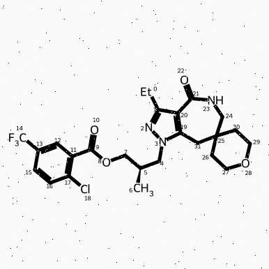 CCc1nn(C[C@@H](C)COC(=O)c2cc(C(F)(F)F)ccc2Cl)c2c1C(=O)NCC1(CCOCC1)C2